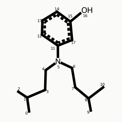 CC(C)CCN(CCC(C)C)c1cccc(O)c1